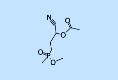 COP(C)(=O)CCC(C#N)OC(C)=O